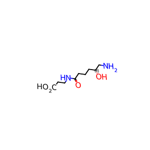 NC[C@H](O)CCCC(=O)NCCC(=O)O